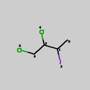 CC(I)C(Cl)CCl